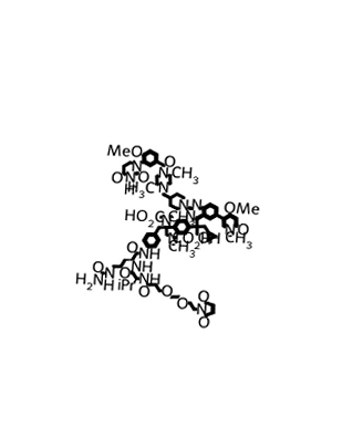 COc1cc(=O)n(C)cc1-c1ccc2nc(N3CCC(CN4C[C@@H](C)N(C(=O)c5ccc(OC)c(N6CCC(=O)NC6=O)c5)C[C@@H]4C)CC3)nc(C(CO)(CC3CC3)c3ccc(C(Cc4ccc(NC(=O)[C@H](CCCNC(N)=O)NC(=O)[C@@H](NC(=O)CCOCCOCCN5C(=O)C=CC5=O)C(C)C)cc4)(CN(C)C(=O)O)N(C)C(=O)O)cc3)c2c1